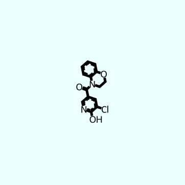 O=C(c1cnc(O)c(Cl)c1)N1CCOc2ccccc21